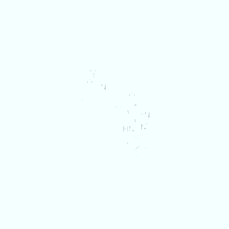 COc1cc2ncnc(Nc3ccc(F)c(Cl)c3)c2cc1OCCCN1CC(=O)OC2(CCOCC2)C1